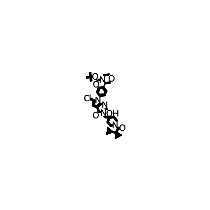 CC(C)(C)OC(=O)N1CCOC[C@H]1c1ccc(-n2c(Cl)cc3c(=O)n(CC4(O)CCN(C(=O)C5(C6CC6)CC5)CC4)cnc32)cc1